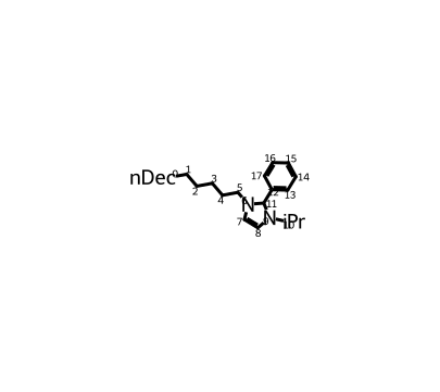 CCCCCCCCCCCCCCCN1C=CN(C(C)C)C1c1ccccc1